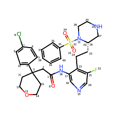 O=C(CC1(c2ccc(Cl)cc2)CCOCC1)Nc1cncc(F)c1CC[C@H]1CNCCN1S(=O)(=O)c1ccccc1